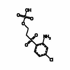 Nc1cc(Cl)ccc1S(=O)(=O)CCOS(=O)(=O)O